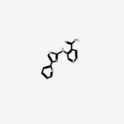 NC(=O)c1ccncc1Nc1nc(-c2ccccn2)cs1